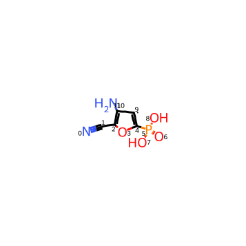 N#Cc1oc(P(=O)(O)O)[c]c1N